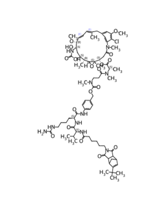 COc1cc2cc(c1Cl)N(C)C(=O)C[C@H](OC(=O)[C@H](C)N(C)C(=O)CCN(C)C(=O)OCc1ccc(NC(=O)[C@H](CCCCNC(N)=O)NC(=O)[C@@H](NC(=O)CCCCCN3C(=O)C4C5C=C(C(C)(C)C)C(C5)C4C3=O)C(C)C)cc1)[C@]1(C)O[C@H]1[C@H](C)[C@@H]1C[C@@](O)(NC(=O)O1)[C@H](OC)/C=C/C=C(\C)C2